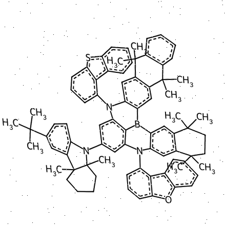 CC(C)(C)c1ccc2c(c1)C1(C)CCCCC1(C)N2c1cc2c3c(c1)N(c1cccc4sc5ccccc5c14)c1cc4c(cc1B3c1cc3c(cc1N2c1cccc2oc5ccccc5c12)C(C)(C)CCC3(C)C)C(C)(C)c1ccccc1C4(C)C